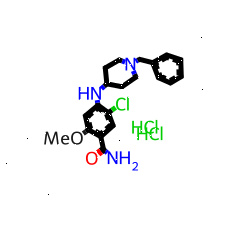 COc1cc(NC2CCN(Cc3ccccc3)CC2)c(Cl)cc1C(N)=O.Cl.Cl